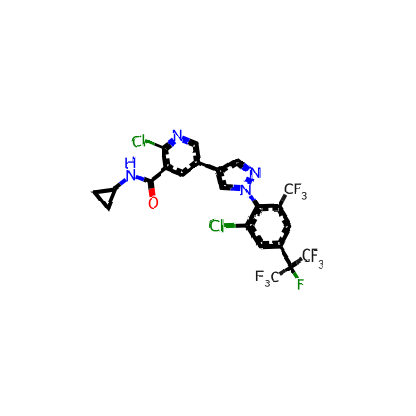 O=C(NC1CC1)c1cc(-c2cnn(-c3c(Cl)cc(C(F)(C(F)(F)F)C(F)(F)F)cc3C(F)(F)F)c2)cnc1Cl